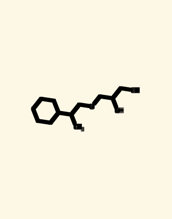 CC(COCC(O)CO)C1CCCCC1